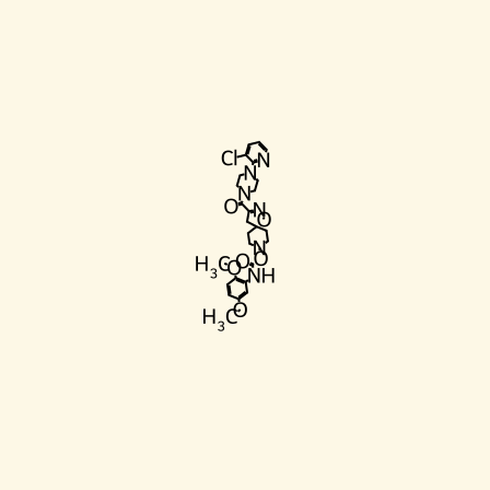 COc1ccc(OC)c(NC(=O)ON2CCC3(CC2)CC(C(=O)N2CCN(c4ncccc4Cl)CC2)=NO3)c1